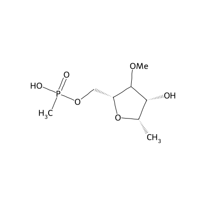 COC1[C@@H](COP(C)(=O)O)O[C@@H](C)[C@H]1O